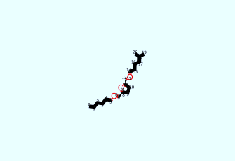 CCCCCCOC[C@@H]1CC[C@@H](COCCCCC(C)C)O1